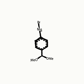 COC(OC)c1cc[c]([Mg][Br])cc1